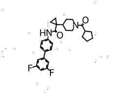 O=C(C1CCCC1)N1CCC(C2(C(=O)Nc3ccc(-c4cc(F)cc(F)c4)cc3)CC2)CC1